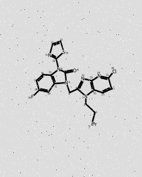 CC(C)CCn1c(Cn2c(=O)n(-c3nccs3)c3ccc(F)cc32)nc2nc(Cl)ccc21